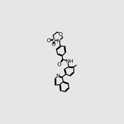 Cc1ccc(-c2nccc3ccccc23)cc1NC(=O)c1ccc(N2COCCS2(=O)=O)cc1